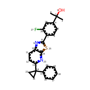 CC(C)(O)c1ccc(-c2nc3ccc(C4(c5ccccc5)CC4)nc3s2)c(F)c1